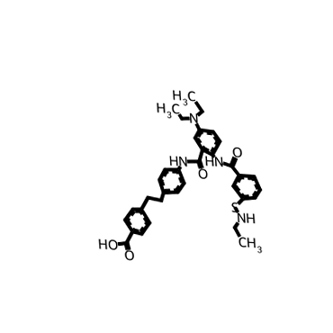 CCNSc1cccc(C(=O)Nc2ccc(N(CC)CC)cc2C(=O)Nc2ccc(CCc3ccc(C(=O)O)cc3)cc2)c1